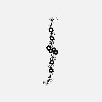 C=CC(=O)OCCOC1CCC(C(=O)Oc2ccc(OC(=O)Oc3cccc4c3C3(CC4)CCc4cccc(OC(=O)Oc5ccc(OC(=O)C6CCC(OCCOC(=O)C=C)CC6)cc5)c43)cc2)CC1